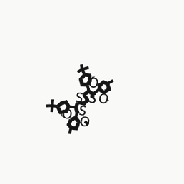 COc1cc(C)cc(OC)c1-c1sc2c(sc3c(-c4ccc(C(C)(C)C)cc4)c(-c4c(OC)cc(C)cc4OC)sc32)c1-c1ccc(C(C)(C)C)cc1